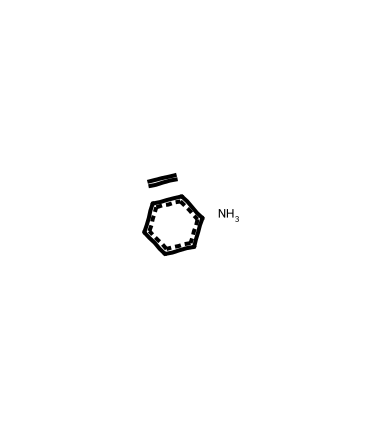 C=C.N.c1ccccc1